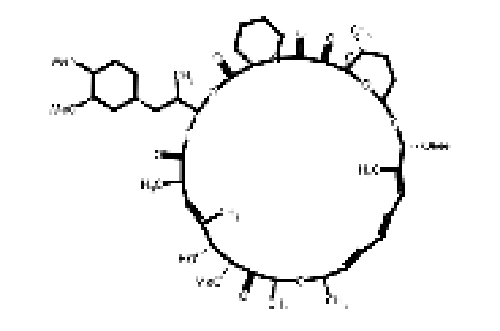 CNC1CC[C@@H](C[C@@H](C)[C@@H]2CC(=O)[C@H](C)/C=C(\C)[C@@H](O)[C@@H](OC)C(=O)[C@H](C)C[C@H](C)/C=C/C=C/C=C(\C)[C@@H](OC)CC3CC[C@@H](C)[C@@](O)(O3)C(=O)C(=O)N3CCCCC3C(=O)O2)C[C@H]1OC